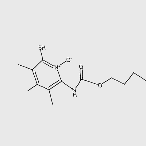 CCCCOC(=O)Nc1c(C)c(C)c(C)c(S)[n+]1[O-]